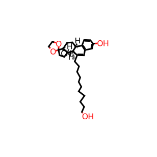 C[C@]12CC[C@@H]3c4ccc(O)cc4C=C(CCCCCCCCCCCO)[C@H]3[C@@H]1CCC21OCCO1